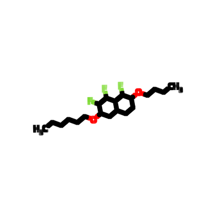 CCCCCCOC1CC2CCC(OCCCC)C(F)C2C(F)C1F